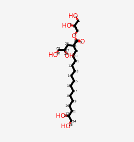 O=C(OCC(O)CO)C(CCCCCCCCCCCCCC(O)CO)CC(O)CO